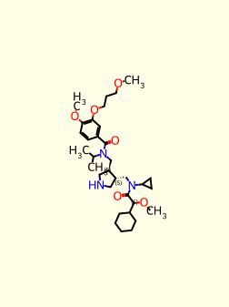 COCCCOc1cc(C(=O)N(C[C@@H]2CNC[C@H]2CN(C(=O)[C@@H](OC)C2CCCCC2)C2CC2)C(C)C)ccc1OC